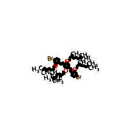 CC(C)CCCC(C)CCOc1cc(Br)ccc1C=Cc1cc(OCCC(C)CCCC(C)C)c(C=Cc2ccc(Br)cc2OCCC(C)CCCC(C)C)cc1OCCC(C)CCCC(C)C